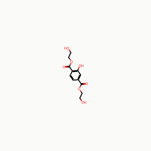 O=C(OCCO)c1ccc(C(=O)OCCO)c(O)c1